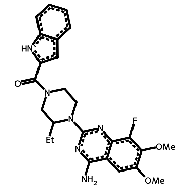 CCC1CN(C(=O)c2cc3ccccc3[nH]2)CCN1c1nc(N)c2cc(OC)c(OC)c(F)c2n1